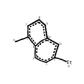 CCc1ccc2c(C)cccc2c1